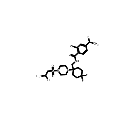 CC(O)CS(=O)(=O)N1CCN(C2(CNC(=O)c3ccc(C(C)F)cc3Cl)CCC(F)(F)CC2)CC1